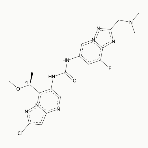 CO[C@@H](C)c1c(NC(=O)Nc2cc(F)c3nc(CN(C)C)nn3c2)cnc2cc(Cl)nn12